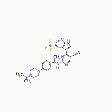 CC(Nc1ncc(C#N)c(-c2c[nH]c3ncc(C(F)(F)F)cc23)n1)c1ccc(N2CCN(C(C)C)CC2)cc1